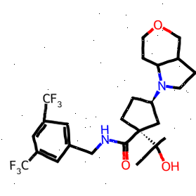 CC(C)(O)[C@]1(C(=O)NCc2cc(C(F)(F)F)cc(C(F)(F)F)c2)CC[C@@H](N2CCC3COCCC32)C1